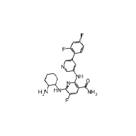 NC(=O)c1cc(F)c(NC2CCCCC2N)nc1Nc1cncc(-c2ccc(F)cc2F)c1